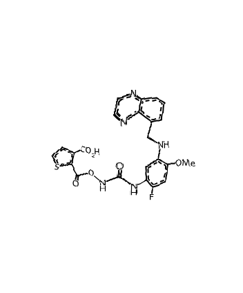 COc1cc(F)c(NC(=O)NOC(=O)c2sccc2C(=O)O)cc1NCc1cccc2nccnc12